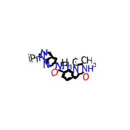 CC(C)n1ncc2cc(NC(=O)c3ccc4cc5n(c4c3)[C@H](C)[C@H](C)NC5=O)cnc21